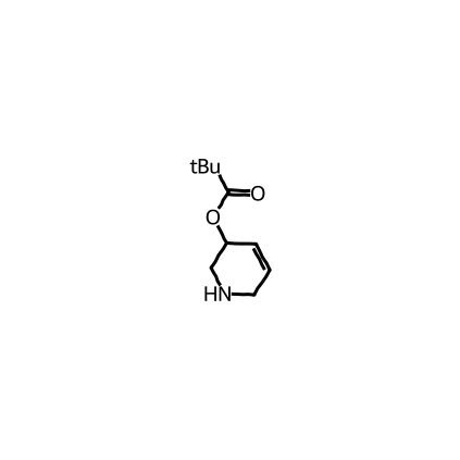 CC(C)(C)C(=O)OC1C=CCNC1